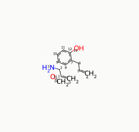 C=CCN.C=CCc1ccccc1O.C=O